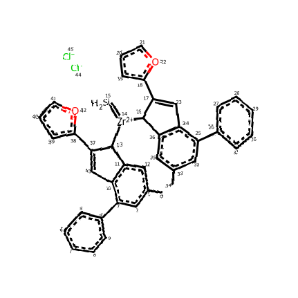 Cc1cc(-c2ccccc2)c2c(c1)[CH]([Zr+2](=[SiH2])[CH]1C(c3ccco3)=Cc3c(-c4ccccc4)cc(C)cc31)C(c1ccco1)=C2.[Cl-].[Cl-]